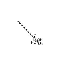 CCCCCCCCCCCCCCCCCC(=O)OC[C@H](O)[C@H](O)CO